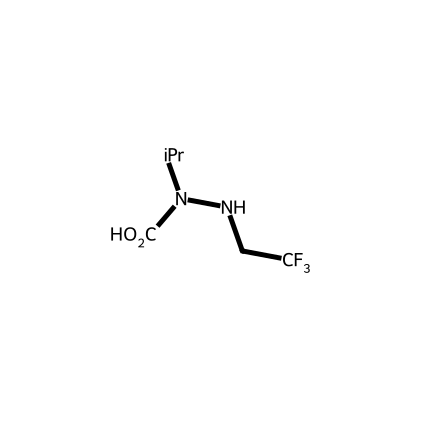 CC(C)N(NCC(F)(F)F)C(=O)O